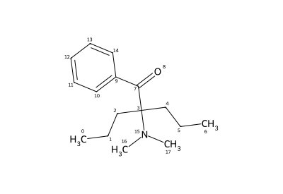 CCCC(CCC)(C(=O)c1ccccc1)N(C)C